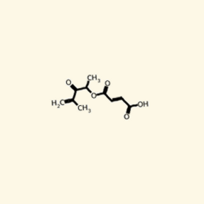 C=C(C)C(=O)C(C)OC(=O)C=CC(=O)O